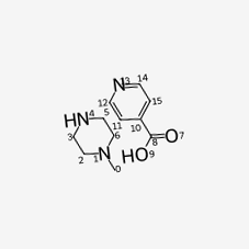 CN1CCNCC1.O=C(O)c1ccncc1